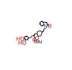 CC(C)(C)OC(=O)/C(=C\C1CCC/C(=C/CCn2c(=O)ccc3ccccc32)CC1)CCc1ccc(O)c(O)c1